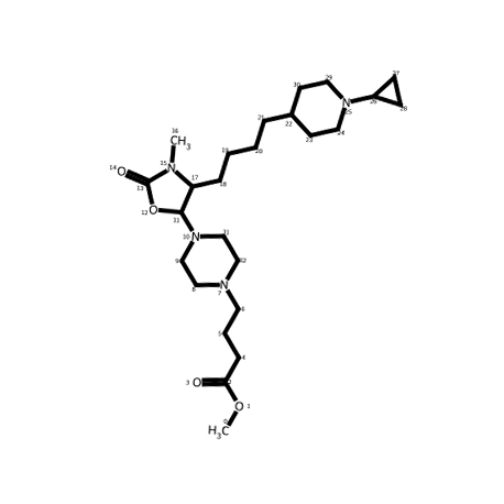 COC(=O)CCCN1CCN(C2OC(=O)N(C)C2CCCCC2CCN(C3CC3)CC2)CC1